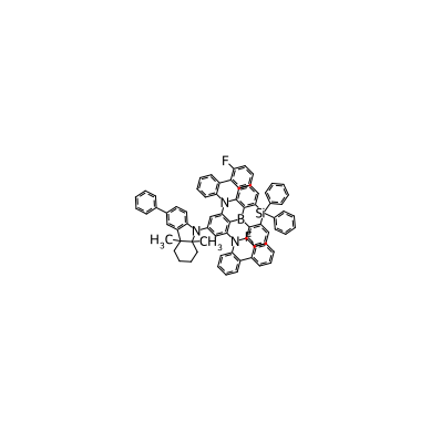 CC12CCCCC1(C)N(c1cc3c4c(c1)N(c1ccccc1-c1ccccc1F)c1cccc5c1B4c1c(cccc1[Si]5(c1ccccc1)c1ccccc1)N3c1ccccc1-c1ccccc1F)c1ccc(-c3ccccc3)cc12